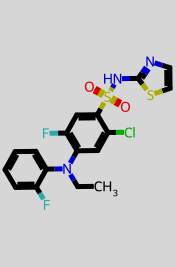 CCN(c1ccccc1F)c1cc(Cl)c(S(=O)(=O)Nc2nccs2)cc1F